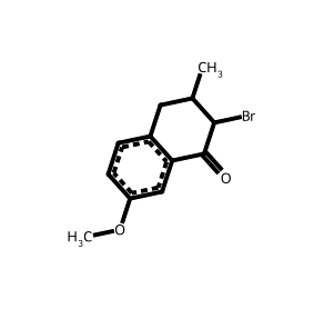 COc1ccc2c(c1)C(=O)C(Br)C(C)C2